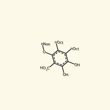 CCCCCCCCCOc1c(CCCCCCCC)c(CCCCCCCC)c(O)c(O)c1C(=O)O